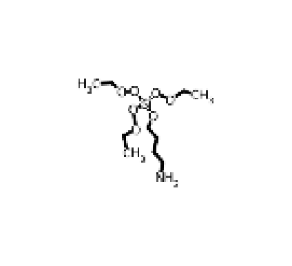 CCOO[Si](OCCCCN)(OOCC)OOCC